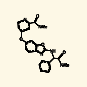 CNC(=O)c1cc(Oc2ccc3nc(NC(C(=O)NC)c4ccccc4)oc3c2)ccn1